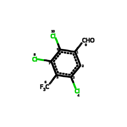 O=Cc1cc(Cl)c(C(F)(F)F)c(Cl)c1Cl